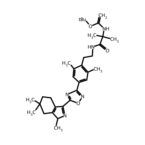 C=C(NC(C)(C)C(=O)NCCc1c(C)cc(-c2noc(C3=NC(C)C4=C3CCC(C)(C)C4)n2)cc1C)OC(C)(C)C